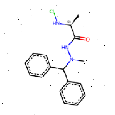 C[C@H](NCl)C(=O)NN(C)C(c1ccccc1)c1ccccc1